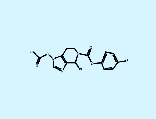 CCC1c2ncn(OC(=O)C(F)(F)F)c2CCN1C(=O)Oc1ccc(F)cc1